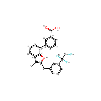 Cc1c(Cc2cccc(C(F)(F)CF)c2)oc2c(-c3cccc(C(=O)O)c3)cccc12